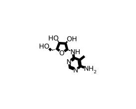 Cc1c(N)ncnc1N[C@@H]1O[C@H](CO)[C@H](O)[C@H]1O